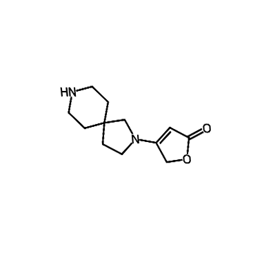 O=C1C=C(N2CCC3(CCNCC3)C2)CO1